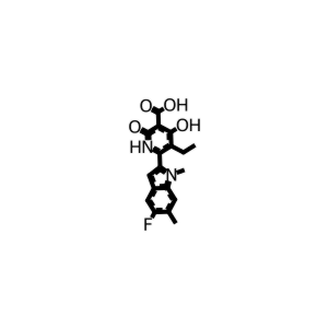 CCc1c(-c2cc3cc(F)c(C)cc3n2C)[nH]c(=O)c(C(=O)O)c1O